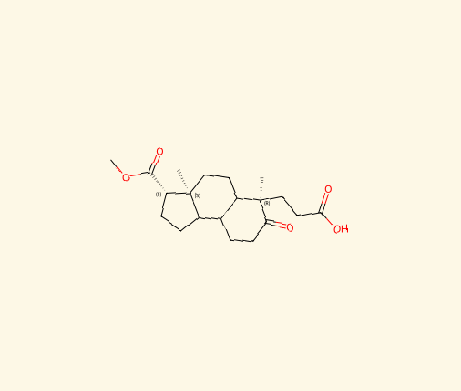 COC(=O)[C@H]1CCC2C3CCC(=O)[C@](C)(CCC(=O)O)C3CC[C@@]21C